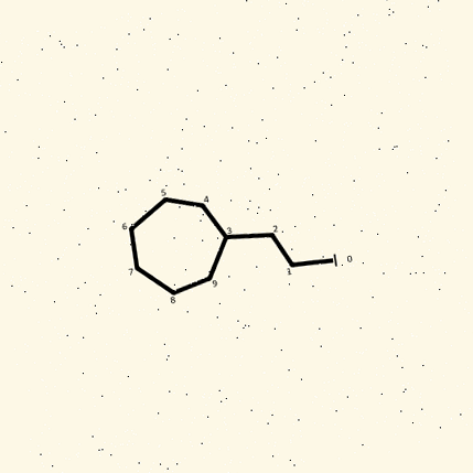 ICCC1CCCCCC1